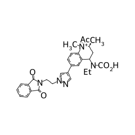 CCN(C(=O)O)C1C[C@H](C)[N@+](C)(C(C)=O)c2ccc(-c3cnn(CCN4C(=O)c5ccccc5C4=O)c3)cc21